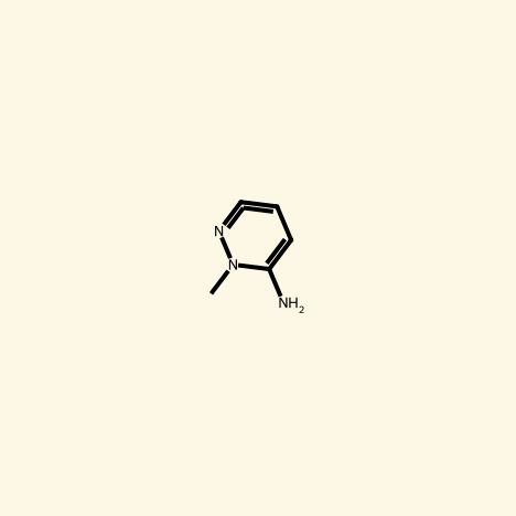 CN1N=C=CC=C1N